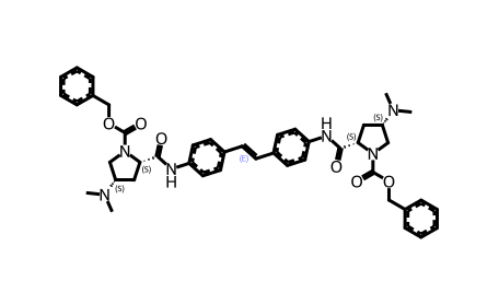 CN(C)[C@H]1C[C@@H](C(=O)Nc2ccc(/C=C/c3ccc(NC(=O)[C@@H]4C[C@H](N(C)C)CN4C(=O)OCc4ccccc4)cc3)cc2)N(C(=O)OCc2ccccc2)C1